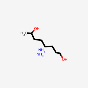 CC(O)CCCCCCO.N.N